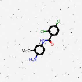 COc1cc(NC(=O)c2ccc(Cl)cc2Cl)ccc1N